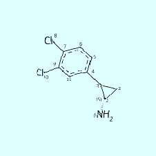 N[C@H]1CC1c1ccc(Cl)c(Cl)c1